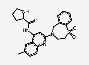 Cc1ccc2nc(N3CCS(=O)(=O)c4ccccc4C3)cc(NC(=O)C3CCCN3)c2c1